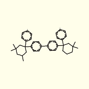 CC1CC(C)(C)CC(c2cc[c]cc2)(c2ccc(-c3ccc(C4(c5cc[c]cc5)CCCC(C)(C)C4)cc3)cc2)C1